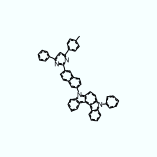 Cc1ccc(-c2cc(-c3ccccc3)nc(-c3ccc4cc(-n5c6ccccc6c6c7c8ccccc8n(-c8ccccc8)c7ccc65)ccc4c3)n2)cc1